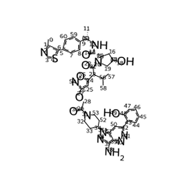 Cc1ncsc1-c1ccc([C@H](C)NC(=O)[C@@H]2C[C@@H](O)CN2C(=O)C(c2cc(OCC(=O)N3CCC(n4nc(N)c5nnc(-c6ccccc6O)cc54)CC3)no2)C(C)C)cc1